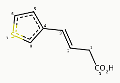 O=C(O)CC=Cc1ccsc1